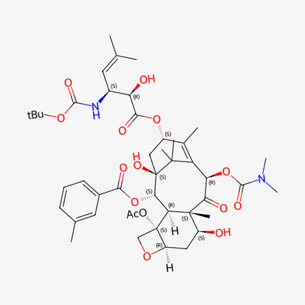 CC(=O)O[C@@]12CO[C@@H]1C[C@H](O)[C@@]1(C)C(=O)[C@H](OC(=O)N(C)C)C3=C(C)[C@@H](OC(=O)[C@H](O)[C@H](C=C(C)C)NC(=O)OC(C)(C)C)C[C@@](O)([C@@H](OC(=O)c4cccc(C)c4)[C@H]21)C3(C)C